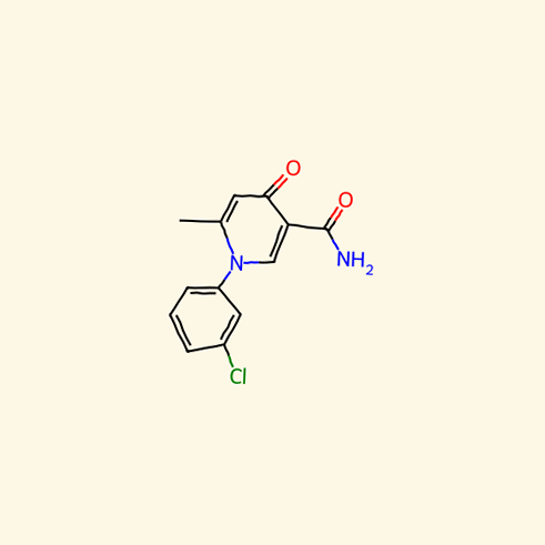 Cc1cc(=O)c(C(N)=O)cn1-c1cccc(Cl)c1